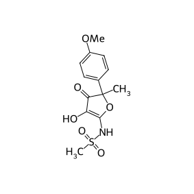 COc1ccc(C2(C)OC(NS(C)(=O)=O)=C(O)C2=O)cc1